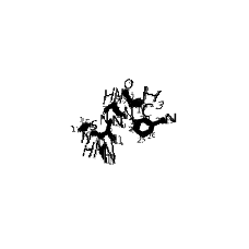 CCC1C(=O)Nc2cnc(-c3cn[nH]c3-c3nccs3)nc2N1c1cccc(C#N)c1